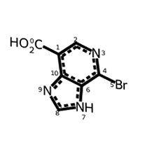 O=C(O)c1cnc(Br)c2[nH]cnc12